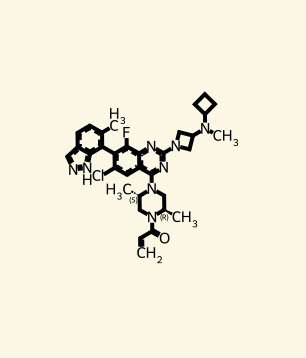 C=CC(=O)N1C[C@H](C)N(c2nc(N3CC(N(C)C4CCC4)C3)nc3c(F)c(-c4c(C)ccc5cn[nH]c45)c(Cl)cc23)C[C@H]1C